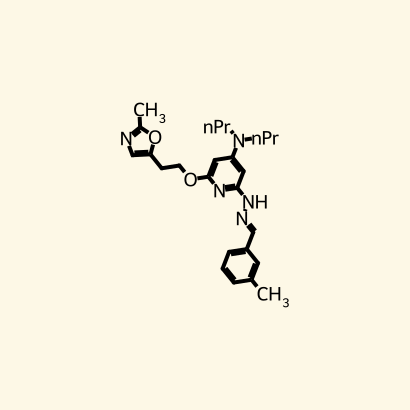 CCCN(CCC)c1cc(N/N=C/c2cccc(C)c2)nc(OCCc2cnc(C)o2)c1